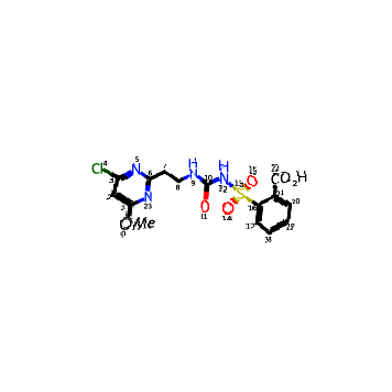 COc1cc(Cl)nc(CCNC(=O)NS(=O)(=O)c2ccccc2C(=O)O)n1